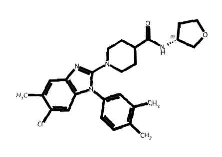 Cc1ccc(-n2c(N3CCC(C(=O)N[C@@H]4CCOC4)CC3)nc3cc(C)c(Cl)cc32)cc1C